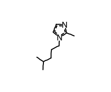 Cc1nccn1CCCC(C)C